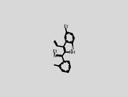 C=CC1=C(/C(=N\CC)c2ccccc2C)NSc2ccc(CC)cc21